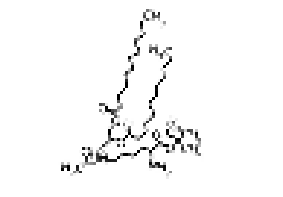 [CH2]C(O)CN(CCCCC(N)C(=O)OC(C)(C)C)CC(COC(=O)CCCCCCCCCCC)OC(=O)CCCCCCCCCCC